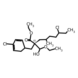 CCOC(=O)[C@@](CC(C)CCC(Cl)CC)(CC1C=CC(Cl)=CC1)C(O)OCC